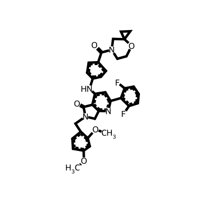 COc1ccc(CN2Cc3nc(-c4c(F)cccc4F)cc(Nc4ccc(C(=O)N5CCOC6(CC6)C5)cc4)c3C2=O)c(OC)c1